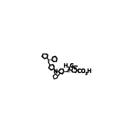 C[n+]1cc(C(=O)O)ccc1/C=C/c1ccc2c(c1)C1CCCC1N2c1ccc(C=C(c2ccccc2)c2ccccc2)cc1